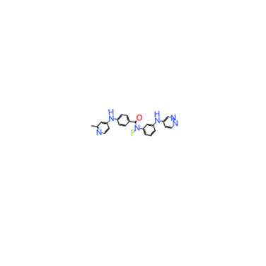 Cc1cc(Nc2ccc(C(=O)N(F)c3cccc(Nc4ccnnc4)c3)cc2)ccn1